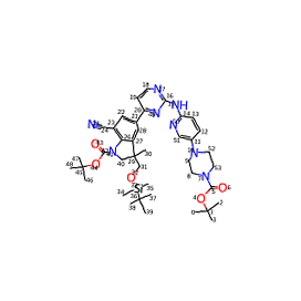 CC(C)(C)OC(=O)N1CCN(c2ccc(Nc3nccc(-c4cc(C#N)c5c(c4)C(C)(CO[Si](C)(C)C(C)(C)C)CN5C(=O)OC(C)(C)C)n3)nc2)CC1